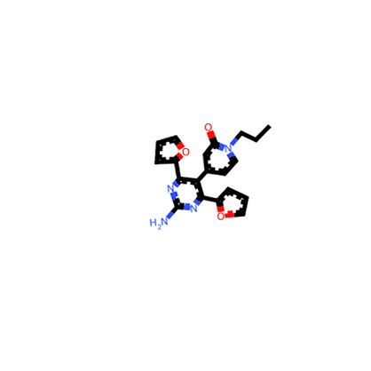 CCCn1ccc(-c2c(-c3ccco3)nc(N)nc2-c2ccco2)cc1=O